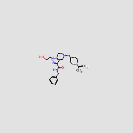 C=C(C)C1CC=C(CN2CCc3c(c(C(=O)NCc4ccccc4)nn3CCO)C2)CC1